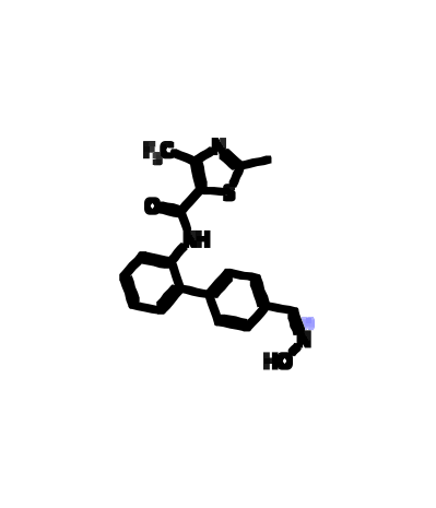 Cc1nc(C(F)(F)F)c(C(=O)Nc2ccccc2-c2ccc(/C=N\O)cc2)s1